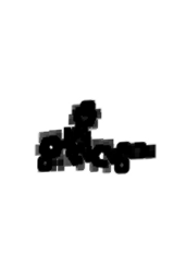 CC(C)(C)OC(=O)N1CCC(n2cnc3c(-c4cccc(O)c4)nc(N4CCOCC4)nc32)CC1